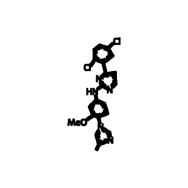 COc1cc(Nc2nccc(-c3cc(Cl)ccc3Cl)n2)ccc1-n1cnc(C)c1